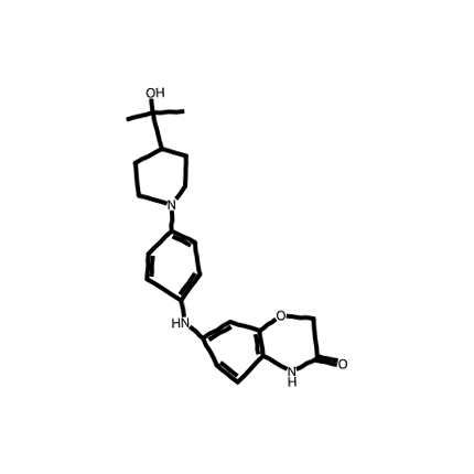 CC(C)(O)C1CCN(c2ccc(Nc3ccc4c(c3)OCC(=O)N4)cc2)CC1